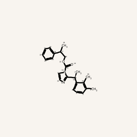 Cc1cccc([C@H](C)c2nccn2C(=O)OCC(C)c2ccccc2)c1C